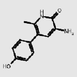 Cc1[nH]c(=O)c(N)cc1-c1ccc(O)cc1